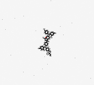 C=CC(=O)Oc1ccc(N(c2ccc(C(C)(CC(C)C)c3ccc(N(c4ccc(C)cc4)c4ccc(C)cc4C)cc3)cc2)c2ccc(C)cc2C)cc1